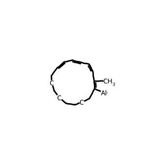 CC1=[C]([Al])CCCCCCCCC=CC=CC=C1